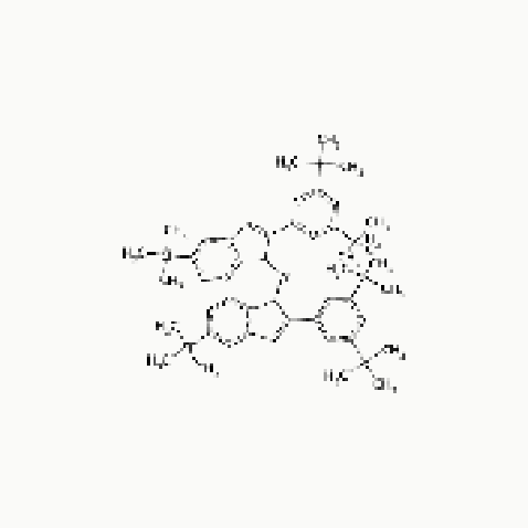 CC(C)(C)c1cc(C2=Cc3cc([Si](C)(C)C)ccc3[CH]2[Zr][CH]2C(c3cc(C(C)(C)C)cc(C(C)(C)C)c3)=Cc3cc([Si](C)(C)C)ccc32)cc(C(C)(C)C)c1